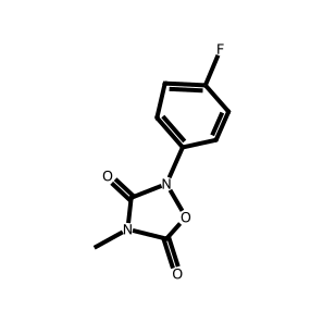 Cn1c(=O)on(-c2ccc(F)cc2)c1=O